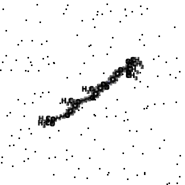 C=C(C)C(=O)OCCCCCCOc1ccc(-c2ccc(OCCCCCCOc3ccc(-c4ccc(OC(=O)/C=C/c5ccc(-c6ccc(OCCC(C)(COC)COC(=O)C(=C)C)cc6)cc5)cc4)c(CC)c3)c(CC)c2)cc1